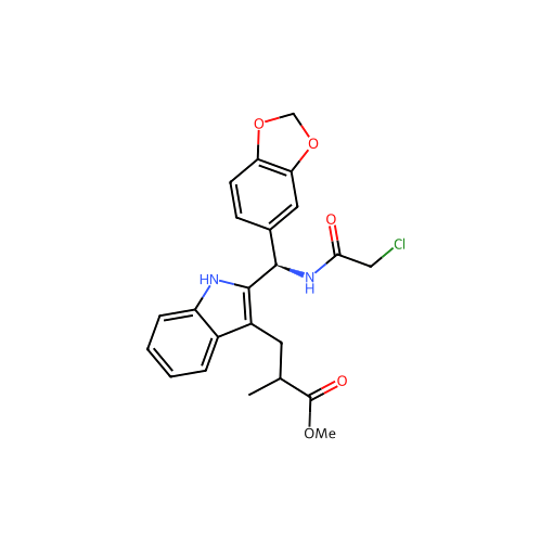 COC(=O)C(C)Cc1c([C@H](NC(=O)CCl)c2ccc3c(c2)OCO3)[nH]c2ccccc12